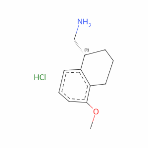 COc1cccc2c1CCC[C@H]2CN.Cl